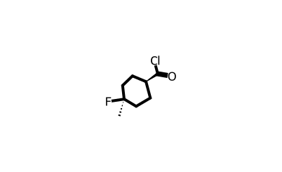 C[C@]1(F)CC[C@@H](C(=O)Cl)CC1